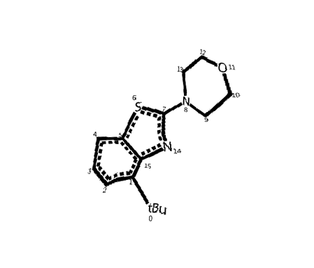 CC(C)(C)c1cccc2sc(N3CCOCC3)nc12